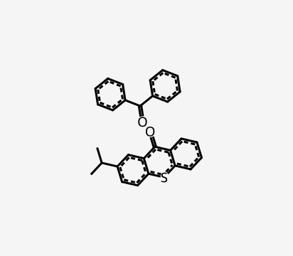 CC(C)c1ccc2sc3ccccc3c(=O)c2c1.O=C(c1ccccc1)c1ccccc1